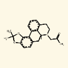 CC(=O)CN1CCc2cccc3c2[C@H]1Cc1ccc2c(c1-3)OC(C)(C)O2